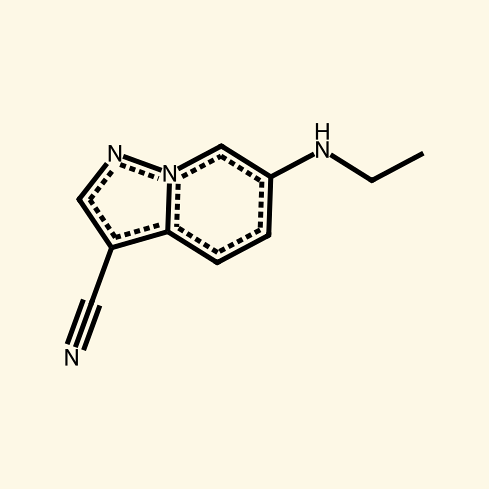 CCNc1ccc2c(C#N)cnn2c1